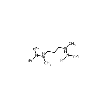 CCCN(C(C)C)[SiH](C)CCC[SiH](C)N(CCC)C(C)C